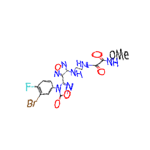 CONC(=O)C(=O)NCCNc1nonc1-c1noc(=O)n1-c1ccc(F)c(Br)c1